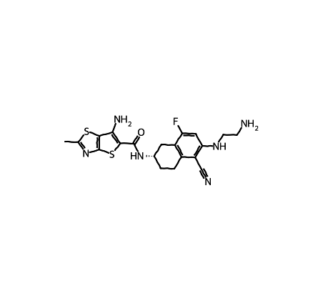 Cc1nc2sc(C(=O)N[C@H]3CCc4c(C#N)c(NCCN)cc(F)c4C3)c(N)c2s1